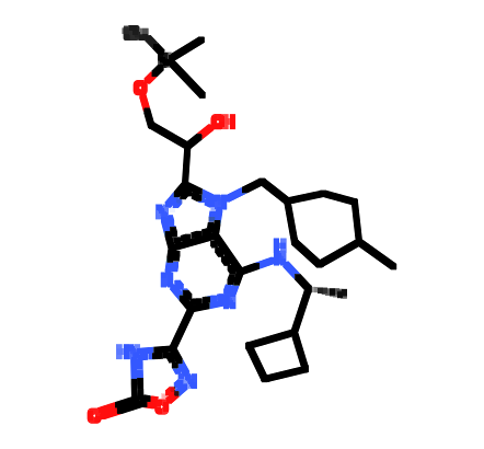 CC1CCC(Cn2c(C(O)CO[Si](C)(C)C(C)(C)C)nc3nc(-c4noc(=O)[nH]4)nc(N[C@H](C)C4CCC4)c32)CC1